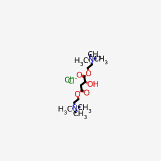 C[N+](C)(C)CCOC(=O)CC(O)C(=O)OCC[N+](C)(C)C.[Cl-].[Cl-]